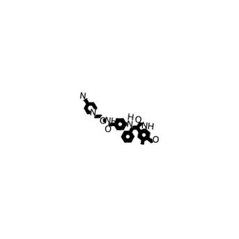 Cc1cc2c(cc1C=O)NC(=O)/C2=C(\Nc1ccc(C(=O)NOCCN2CCC(C#N)CC2)cc1)c1ccccc1